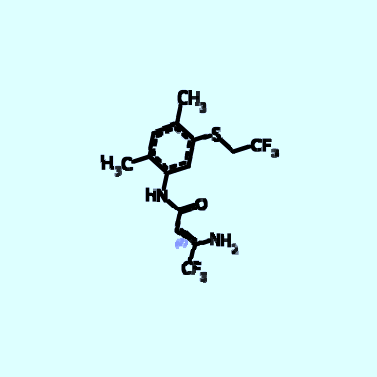 Cc1cc(C)c(SCC(F)(F)F)cc1NC(=O)/C=C(\N)C(F)(F)F